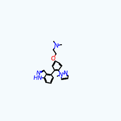 CN(C)CCOc1ccc([N+]2(C)C=CC=N2)c(-c2cccc3[nH]ncc23)c1